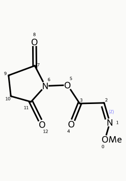 CO/N=C\C(=O)ON1C(=O)CCC1=O